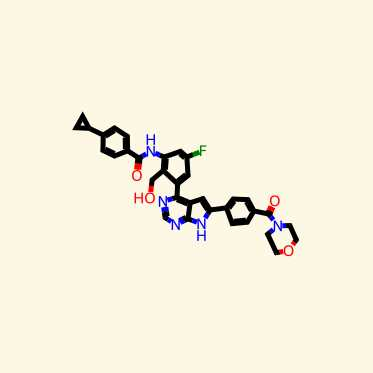 O=C(Nc1cc(F)cc(-c2ncnc3[nH]c(-c4ccc(C(=O)N5CCOCC5)cc4)cc23)c1CO)c1ccc(C2CC2)cc1